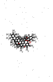 Bc1c(B)c(-c2c3c(B)c(B)c(B)c(B)c3c(-c3c(B)c(B)c(-c4c(B)c(B)c5c(B)c(B)c(B)c(B)c5c4B)c4c(B)c(B)c(B)c(B)c34)c3c(B)c(B)c(B)c(B)c23)c2c(oc3c4c(B)c(B)c(B)c(B)c4c(B)c(B)c32)c1B